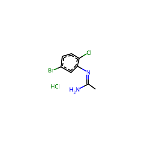 CC(N)=Nc1cc(Br)ccc1Cl.Cl